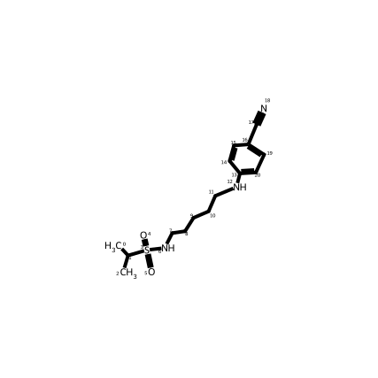 CC(C)S(=O)(=O)NCCCCCNc1ccc(C#N)cc1